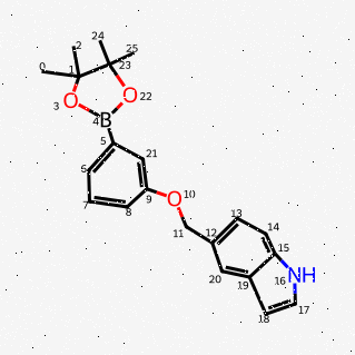 CC1(C)OB(c2cccc(OCc3ccc4[nH]ccc4c3)c2)OC1(C)C